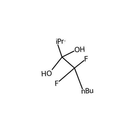 CCCCC(F)(F)C(O)(O)[C](C)C